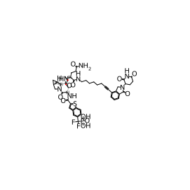 CCCC[C@H](NC(=O)c1cc2cc(C(F)(F)P(=O)(O)O)ccc2s1)C(=O)N1CC2C[C@H]2[C@@H]1C(=O)N[C@@H](CCC(N)=O)C(=O)NCCCCCCC#Cc1cccc2c1CN(C1CCC(=O)NC1=O)C2=O